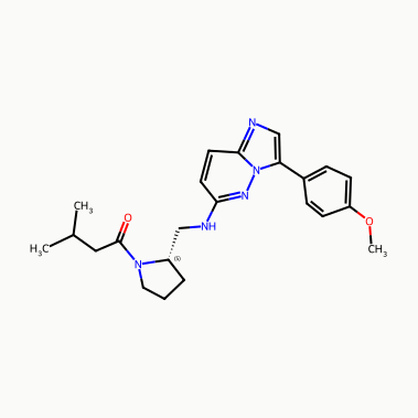 COc1ccc(-c2cnc3ccc(NC[C@@H]4CCCN4C(=O)CC(C)C)nn23)cc1